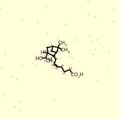 CC(O)[C@@H]1CC2CC([C@H]1C/C=C\CCCC(=O)O)C2(C)C